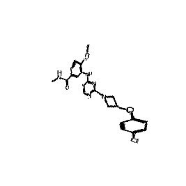 CNC(=O)c1ccc(OC)c(Nc2ncnc(N3CC(Oc4ccc(Cl)cc4)C3)n2)c1